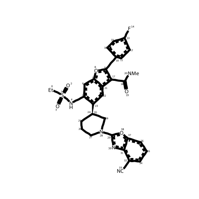 CCS(=O)(=O)Nc1cc2oc(-c3ccc(F)cc3)c(C(=O)NC)c2cc1[C@@H]1CCCN(c2nc3c(C#N)cccc3o2)C1